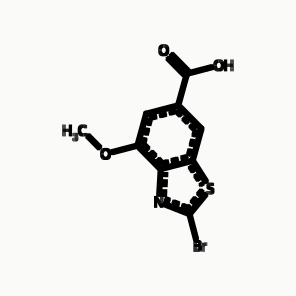 COc1cc(C(=O)O)cc2sc(Br)nc12